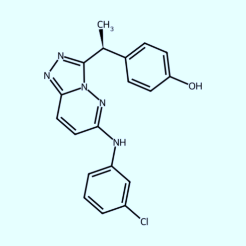 C[C@@H](c1ccc(O)cc1)c1nnc2ccc(Nc3cccc(Cl)c3)nn12